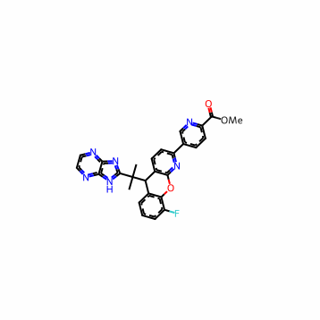 COC(=O)c1ccc(-c2ccc3c(n2)Oc2c(F)cccc2C3C(C)(C)c2nc3nccnc3[nH]2)cn1